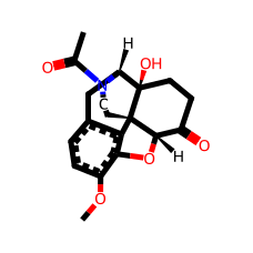 COc1ccc2c3c1O[C@H]1C(=O)CC[C@@]4(O)[C@@H](C2)N(C(C)=O)CC[C@]314